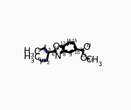 C/C=C\C(=C/C)c1nc2cc(C(=O)OC)ccc2o1